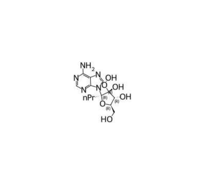 CCC[C@@]1(n2cnc3c(N)ncnc32)O[C@H](CO)[C@@H](O)[C@@]1(O)OO